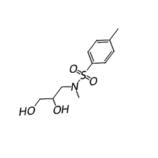 Cc1ccc(S(=O)(=O)N(C)CC(O)CO)cc1